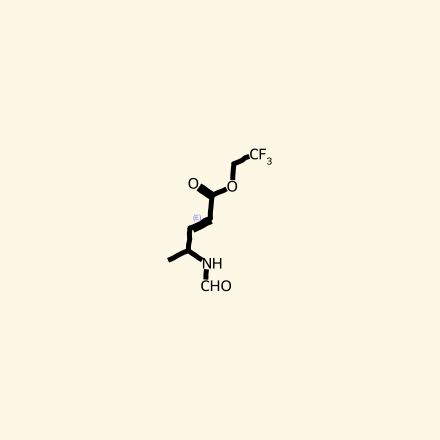 CC(/C=C/C(=O)OCC(F)(F)F)NC=O